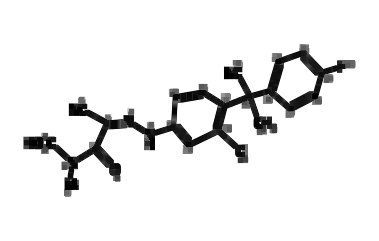 CCN(C(=O)O)C(=O)C(C#N)=NNc1ccc(C(C)(C#N)c2ccc(F)cc2)c(Cl)c1